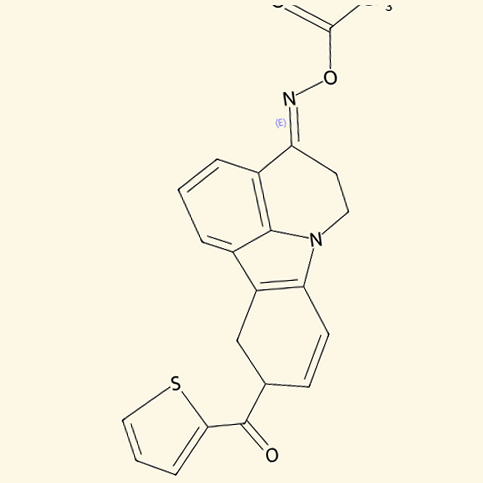 O=C(c1cccs1)C1C=Cc2c(c3cccc4c3n2CC/C4=N\OC(=O)C(F)(F)F)C1